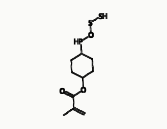 C=C(C)C(=O)OC1CCC(POSS)CC1